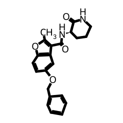 Cc1oc2ccc(OCc3ccccc3)cc2c1C(=O)N[C@H]1CCCNC1=O